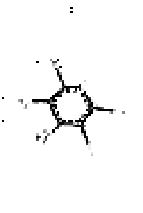 Cc1c(F)nc(F)c(F)c1C